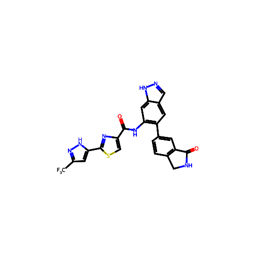 O=C(Nc1cc2[nH]ncc2cc1-c1ccc2c(c1)C(=O)NC2)c1csc(-c2cc(C(F)(F)F)n[nH]2)n1